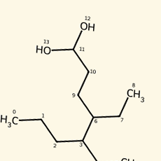 CCCC(CC)C(CC)CCC(O)O